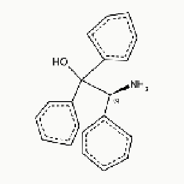 N[C@@H](c1ccccc1)C(O)(c1ccccc1)c1ccccc1